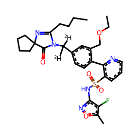 [2H]C([2H])(c1ccc(-c2ncccc2S(=O)(=O)Nc2noc(C)c2F)c(COCC)c1)N1C(=O)C2(CCCC2)N=C1CCCC